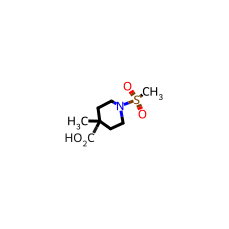 CC1(C(=O)O)CCN(S(C)(=O)=O)CC1